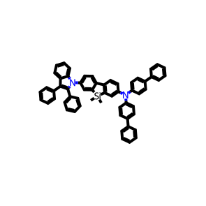 C[Si]1(C)c2cc(N(c3ccc(-c4ccccc4)cc3)c3ccc(-c4ccccc4)cc3)ccc2-c2ccc(-n3c(-c4ccccc4)c(-c4ccccc4)c4ccccc43)cc21